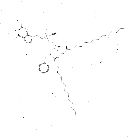 C#C[C@](CCn1cnc2c(N)nc(F)nc21)(COP(=O)(N[C@@H](Cc1ccccc1)C(=O)OCCCCCCCCCCCC)O[C@@H](C)C(=O)OCCCCCCCCCCCC)OC